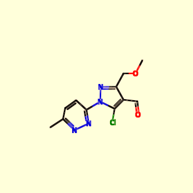 COCc1nn(-c2ccc(C)nn2)c(Cl)c1C=O